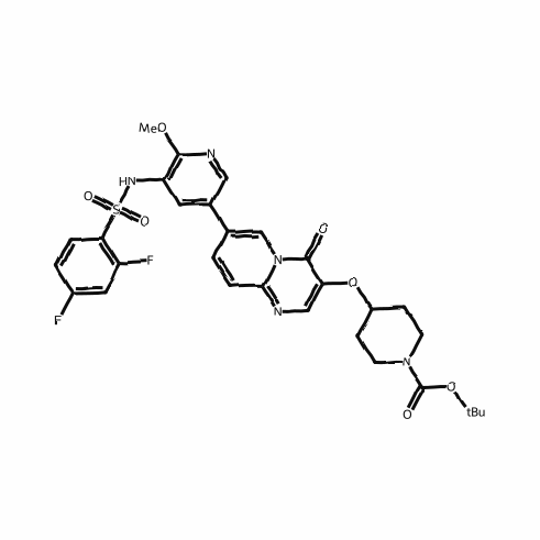 COc1ncc(-c2ccc3ncc(OC4CCN(C(=O)OC(C)(C)C)CC4)c(=O)n3c2)cc1NS(=O)(=O)c1ccc(F)cc1F